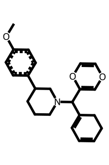 COc1ccc(C2CCCN(C(C3=CC=CCC3)C3=COC=CO3)C2)cc1